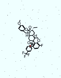 CC[C@@H]1CC2[C@@H](CC[C@@]3(S(=O)(=O)c4ccc(C(F)(F)F)cc4)c4c(F)ccc(F)c4OC[C@@H]23)N(Cc2ccc(OC)cc2)S1(=O)=O